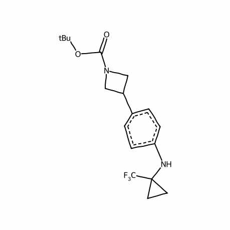 CC(C)(C)OC(=O)N1CC(c2ccc(NC3(C(F)(F)F)CC3)cc2)C1